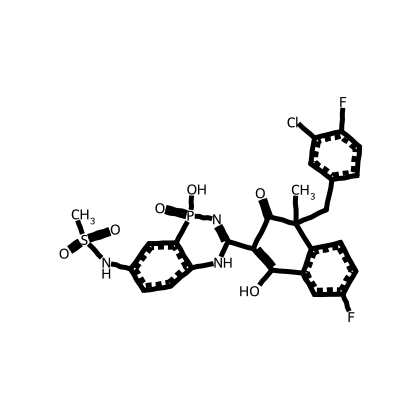 CC1(Cc2ccc(F)c(Cl)c2)C(=O)C(C2=NP(=O)(O)c3cc(NS(C)(=O)=O)ccc3N2)=C(O)c2cc(F)ccc21